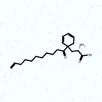 C=CCCCCCCCCC(=O)C1(C[C@H](N)C(=O)O)C=CC=CC1